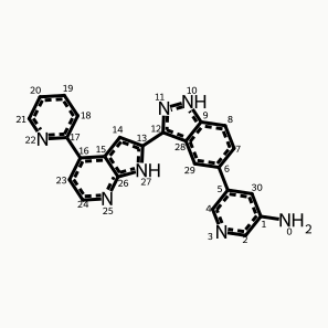 Nc1cncc(-c2ccc3[nH]nc(-c4cc5c(-c6ccccn6)ccnc5[nH]4)c3c2)c1